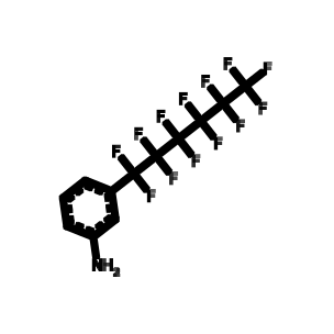 Nc1cccc(C(F)(F)C(F)(F)C(F)(F)C(F)(F)C(F)(F)C(F)(F)F)c1